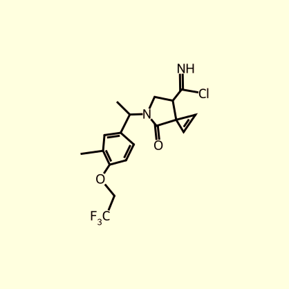 Cc1cc(C(C)N2CC(C(=N)Cl)C3(C=C3)C2=O)ccc1OCC(F)(F)F